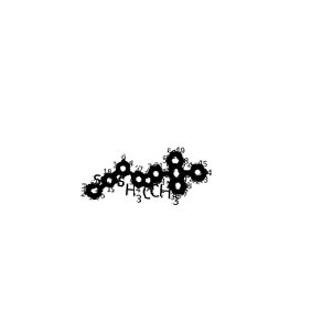 CC1(C)c2ccc(-c3cccc4c3sc3cc5c(cc34)sc3ccccc35)cc2-c2ccc(-c3c4ccccc4c(-c4ccccc4)c4ccccc34)cc21